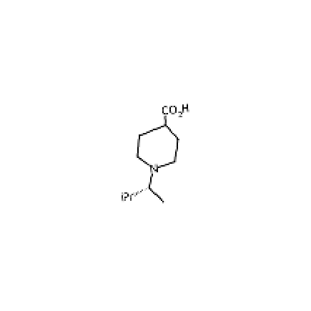 CC(C)[C@@H](C)N1CCC(C(=O)O)CC1